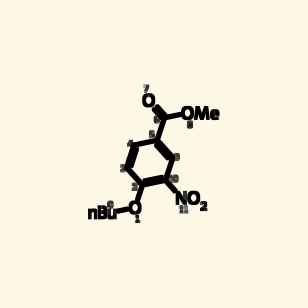 CCCCOc1ccc(C(=O)OC)cc1[N+](=O)[O-]